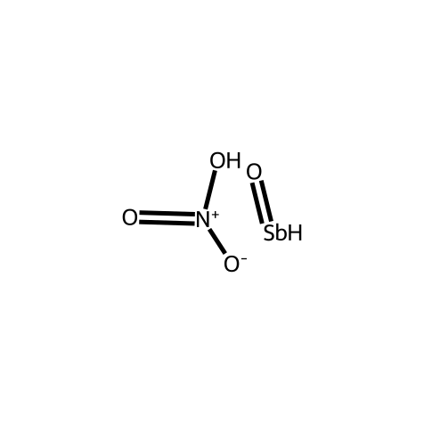 O=[N+]([O-])O.[O]=[SbH]